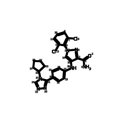 NC(=O)c1nn(-c2c(Cl)cccc2Cl)cc1Nc1ccc(-c2nncn2C2CCCC2)cc1